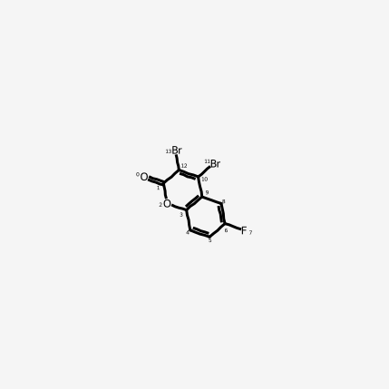 O=c1oc2ccc(F)cc2c(Br)c1Br